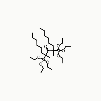 CCCCCCC(C)(C(=O)C(C)(CCCCCC)[Si](OCC)(OCC)OCC)[Si](OCC)(OCC)OCC